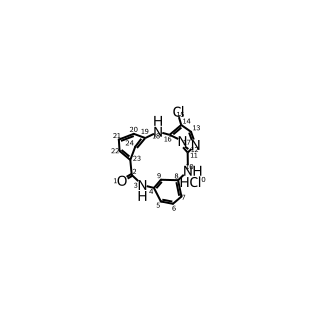 Cl.O=C1Nc2cccc(c2)Nc2ncc(Cl)c(n2)Nc2cccc1c2